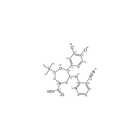 CC(C)(C)C1CN(C(=O)O)CC(Oc2ncccc2C#N)C(c2ccc(Cl)c(Cl)c2)O1